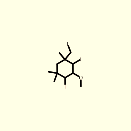 COC1C(I)C(C)(C)CC(C)(CI)C1I